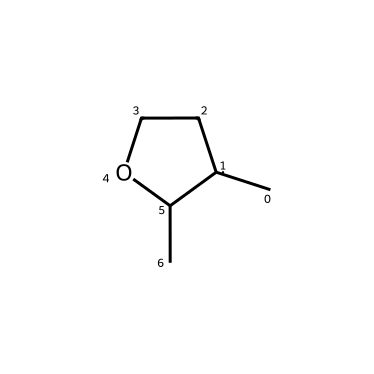 C[C]1CCOC1C